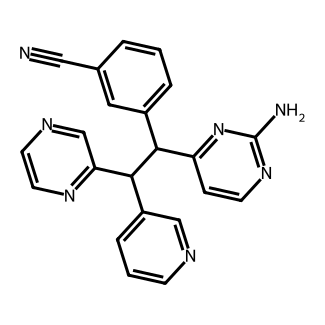 N#Cc1cccc(C(c2ccnc(N)n2)C(c2cccnc2)c2cnccn2)c1